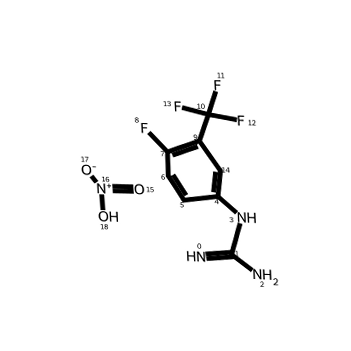 N=C(N)Nc1ccc(F)c(C(F)(F)F)c1.O=[N+]([O-])O